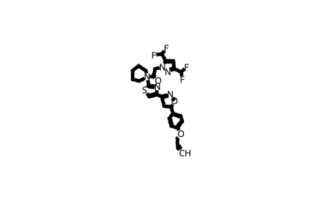 C#CCOc1ccc(C2CC(c3csc([N+]4(C(=O)Cn5nc(C(F)F)cc5C(F)F)CCCCC4)n3)=NO2)cc1